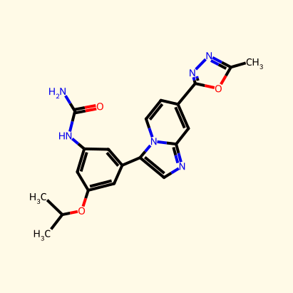 Cc1nnc(-c2ccn3c(-c4cc(NC(N)=O)cc(OC(C)C)c4)cnc3c2)o1